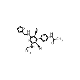 CCNc1nc(NCc2ccco2)c(C#N)c(-c2ccc(NC(C)=O)cc2)c1C#N